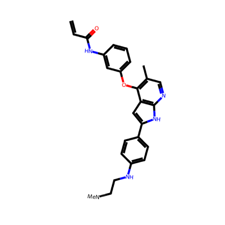 C=CC(=O)Nc1cccc(Oc2c(C)cnc3[nH]c(-c4ccc(NCCNC)cc4)cc23)c1